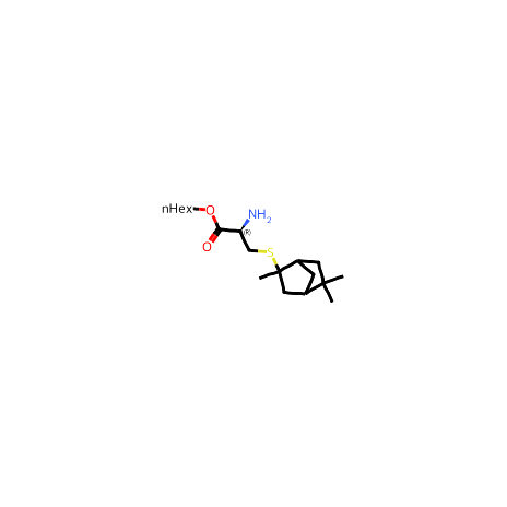 CCCCCCOC(=O)[C@@H](N)CSC1(C)CC2CC1CC2(C)C